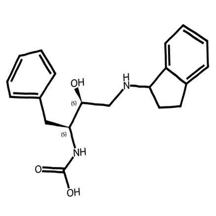 O=C(O)N[C@@H](Cc1ccccc1)[C@@H](O)CNC1CCc2ccccc21